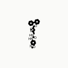 O=C(NCC1=NOC(COc2ccccc2-c2ccccc2)C1)Nc1ccc2ocnc2c1